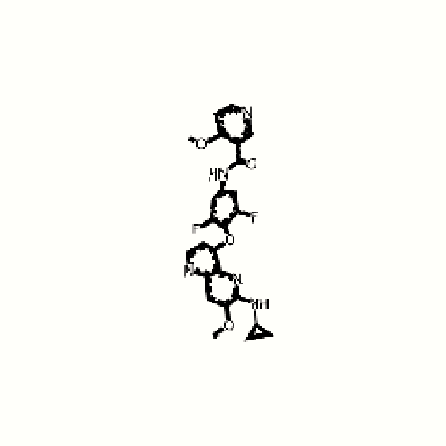 COc1ccncc1C(=O)Nc1cc(F)c(Oc2ccnc3cc(OC)c(NC4CC4)nc23)c(F)c1